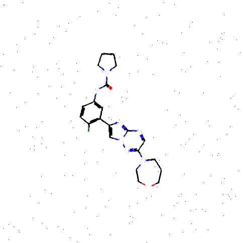 O=C(Nc1ccc(F)c(-c2cn3nc(N4CCCOCC4)cnc3n2)c1)N1CCCC1